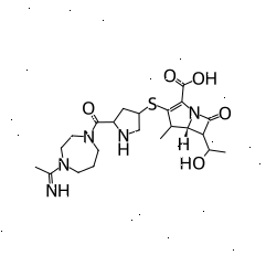 CC(=N)N1CCCN(C(=O)C2CC(SC3=C(C(=O)O)N4C(=O)C(C(C)O)[C@@H]4C3C)CN2)CC1